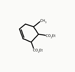 CCOC(=O)C1C=CCC(C)C1C(=O)OCC